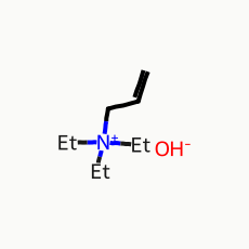 C=CC[N+](CC)(CC)CC.[OH-]